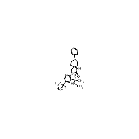 CPC(C)(F)c1cc(C(C)(F)P)cnc1N1CC2(CCC(c3ccccc3)CC2)NC1=O